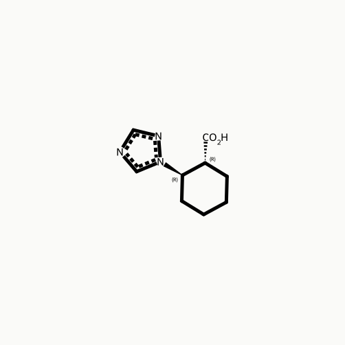 O=C(O)[C@@H]1CCCC[C@H]1n1cncn1